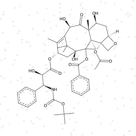 CC(=O)O[C@@]12CO[C@@H]1C[C@H](O)[C@@]1(C)C(=O)[C@H](O)C3=C(C)[C@@H](OC(=O)[C@H](O)[C@@H](NC(=O)OC(C)(C)C)c4ccccc4)C[C@](O)(C3(C)C)C3(OC(=O)c4ccccc4)C[C@@]321